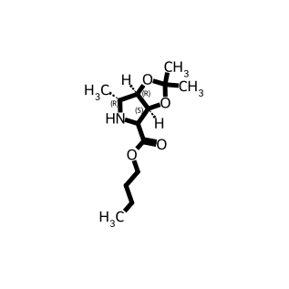 CCCCOC(=O)C1N[C@H](C)[C@H]2OC(C)(C)O[C@@H]12